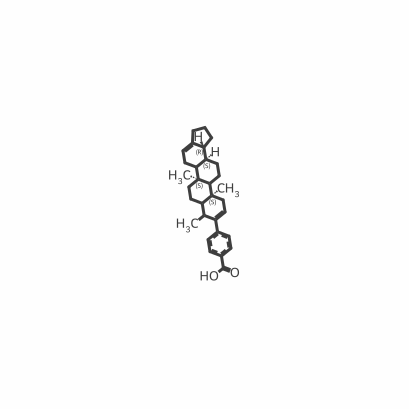 CC1C(c2ccc(C(=O)O)cc2)=CC[C@@]2(C)C1CC[C@@]1(C)C3CC=C4CCC[C@@H]4[C@H]3CCC21